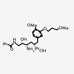 COCCCOc1cc(C[C@@H](C[C@H](N)[C@@H](O)CNC(=O)C(C)C)C(C)C)ccc1OC.Cl